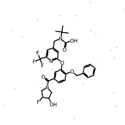 CC(C)(C)N(Cc1cc(Oc2cc(C(=O)N3CC(O)C(F)C3)ccc2OCc2ccccc2)nc(C(F)(F)F)c1)C(=O)O